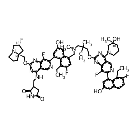 CCc1c(F)ccc2cc(O)cc(-c3ncc4c(N5CCC[C@@](C)(O)C5)nc(OCC(C)(C)CN(C)Cc5cc(F)c(CC)c6c(-c7ncc8c(NCC9CC(=O)NC9=O)nc(OC[C@@]9%10CCCN9C[C@H](F)C%10)nc8c7F)cc(O)cc56)nc4c3F)c12